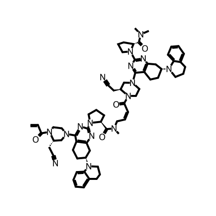 C=CC(=O)N1CCN(c2nc(N3CCC[C@H]3C(=O)N(C)C/C=C\C(=O)N3CCN(c4nc(N5CCC[C@@H]5C(=O)N(C)C)nc5c4CC[C@@H](N4CCCc6ccccc64)C5)C[C@@H]3CC#N)nc3c2CC[C@@H](N2CCCc4ccccc42)C3)C[C@@H]1CC#N